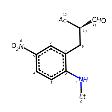 CCNc1ccc([N+](=O)[O-])cc1C[C@H](C=O)C(C)=O